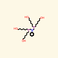 OCCCCCCP(CCCCCCO)CN(CP(CCCCCCO)CCCCCCO)c1ccccc1